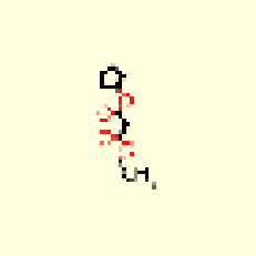 CCOC(=O)CC(=O)OC1=CCCC1